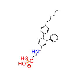 CCCCCCc1ccc(-c2ccc(CNCCOP(=O)(O)O)cc2-c2ccccc2)cc1